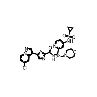 O=C(N[C@@H](CN1CCOCC1)c1cc(NS(=O)(=O)C2CC2)ccn1)c1ncc(-c2cnn3ccc(Cl)cc23)s1